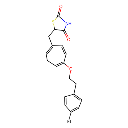 CCc1ccc(CCOC2=CCC=C(CC3SC(=O)NC3=O)C=C2)cc1